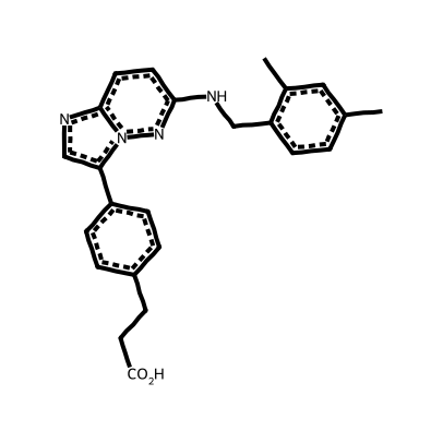 Cc1ccc(CNc2ccc3ncc(-c4ccc(CCC(=O)O)cc4)n3n2)c(C)c1